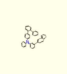 c1ccc(-c2ccccc2-c2ccc(N(c3ccccc3)c3cccc(-c4ccc5ccccc5c4)c3)cc2)cc1